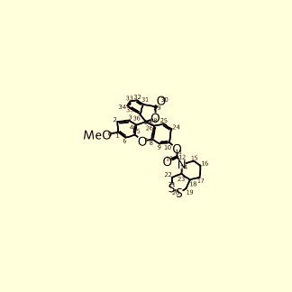 COc1ccc2c(c1)Oc1cc(OC(=O)N3CCCC4CSSCC43)ccc1C21OC(=O)c2ccccc21